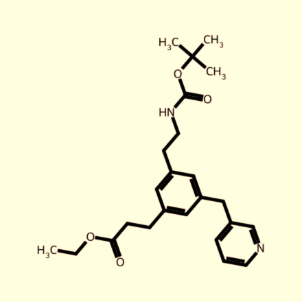 CCOC(=O)CCc1cc(CCNC(=O)OC(C)(C)C)cc(Cc2cccnc2)c1